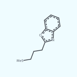 CSCCCc1nc2ccccc2o1